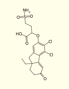 CCC12CCC(=O)C=C1c1c(cc(OC(CCS(N)(=O)=O)C(=O)O)c(Cl)c1Cl)C2